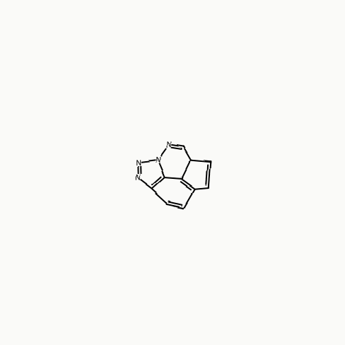 C1=CC2C=Nn3nnc4ccc1c2c43